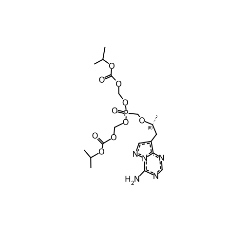 CC(C)OC(=O)OCOP(=O)(CO[C@H](C)Cc1cnn2c(N)ncnc12)OCOC(=O)OC(C)C